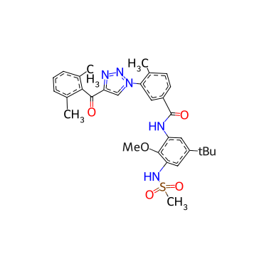 COc1c(NC(=O)c2ccc(C)c(-n3cc(C(=O)c4c(C)cccc4C)nn3)c2)cc(C(C)(C)C)cc1NS(C)(=O)=O